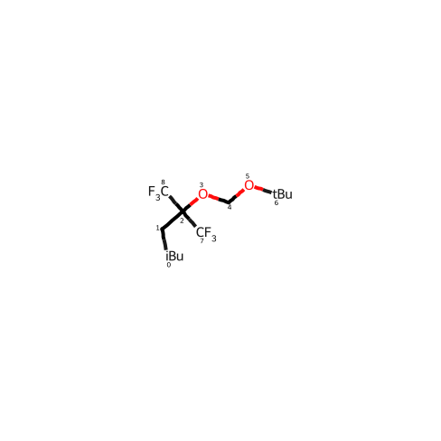 CCC(C)CC(OCOC(C)(C)C)(C(F)(F)F)C(F)(F)F